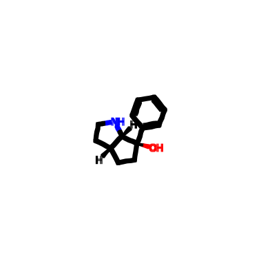 O[C@@]1(c2ccccc2)CC[C@@H]2CCN[C@@H]21